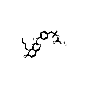 CCCCn1c(=O)ccc2cnc(Nc3ccc(CC(C)(C)OC(N)=O)cc3)nc21